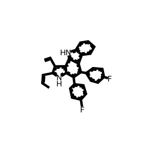 C=Cc1c(/C=C\C)[nH]c2c(-c3ccc(F)cc3)c(-c3ccc(F)cc3)c3c4ccccc4[nH]c3c12